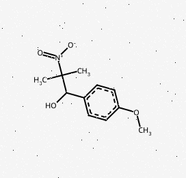 COc1ccc(C(O)C(C)(C)[N+](=O)[O-])cc1